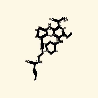 CC#CC(=O)NCCC#Cc1cccc(Nc2nc(NC3CCOCC3)c(CC)nc2C(N)=O)c1